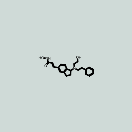 O=C(/C=C/c1ccc2c(c1)CCC2N(CCO)CCc1ccccc1)NO